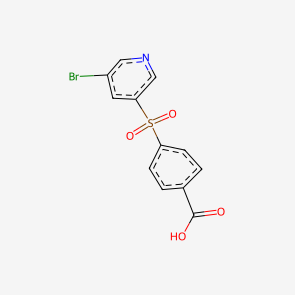 O=C(O)c1ccc(S(=O)(=O)c2cncc(Br)c2)cc1